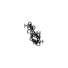 CNC(=O)COc1cc2cc(Nc3nc(N4CCC(OC5CC(N6CC=C(c7ccc8c(c7Cl)CN(C7CCC(=O)NC7=O)C8=O)CC6)C5)CC4)ncc3Cl)ccc2n(C(C)C)c1=O